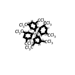 ClC(Cl)(Cl)c1cc(C(Cl)(Cl)Cl)c[c]([Ga-]([c]2cc(C(Cl)(Cl)Cl)cc(C(Cl)(Cl)Cl)c2)([c]2cc(C(Cl)(Cl)Cl)cc(C(Cl)(Cl)Cl)c2)[c]2cc(C(Cl)(Cl)Cl)cc(C(Cl)(Cl)Cl)c2)c1